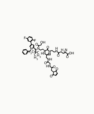 CC(C)(C)[C@H](c1cc(-c2cc(F)ccc2F)cn1Cc1ccccc1)N(CC[C@H](NC(=O)CNC(=O)CNC(=O)CC1C(=O)C=CC1=O)C(=O)NCCNC(=O)CC[C@H](N)C(=O)O)C(=O)CO